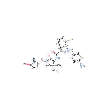 CC(C)(C)C(NC(=O)c1nn(Cc2ccc(N)cc2)c2c(F)cccc12)C(=O)NC[C@@H]1CCC(=O)N1